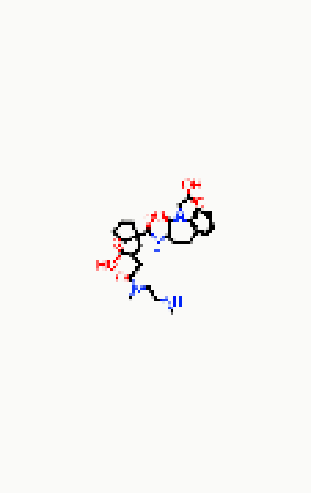 CNCCN(C)C(=O)CC(CC1(C(=O)NC2CCc3ccccc3N(CC(=O)O)C2=O)CCCC1)C(=O)O